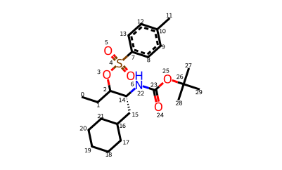 CCC(OS(=O)(=O)c1ccc(C)cc1)[C@@H](CC1CCCCC1)NC(=O)OC(C)(C)C